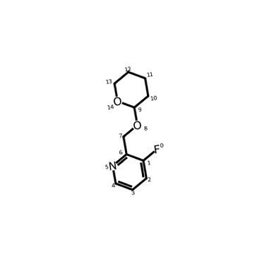 Fc1cccnc1COC1CCCCO1